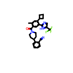 Cc1cc(C2CCC2)c(-c2ncc(C(F)(F)F)[nH]2)cc1C(=O)N1CCC(c2ccccc2C#N)CC1